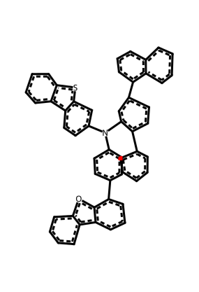 c1ccc(-c2ccc(-c3cccc4ccccc34)cc2N(c2ccc(-c3cccc4c3oc3ccccc34)cc2)c2ccc3c(c2)sc2ccccc23)cc1